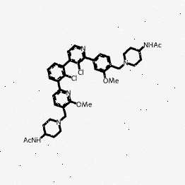 COc1cc(-c2nccc(-c3cccc(-c4ccc(CN5CCC(NC(C)=O)CC5)c(OC)n4)c3Cl)c2Cl)ccc1CN1CCC(NC(C)=O)CC1